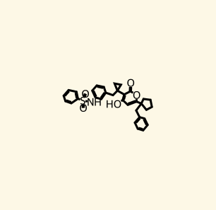 O=c1oc(C2(Cc3ccccc3)CCCC2)cc(O)c1C1(Cc2cccc(NS(=O)(=O)c3ccccc3)c2)CC1